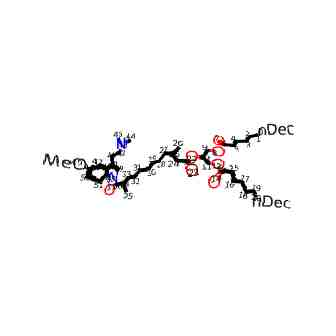 CCCCCCCCCCCCCCCC(=O)OCC(COC(=O)CCCCCCCCCCCCCCC)OC(=O)CC(C)CCCCCCCC(C)C(=O)n1cc(CCN(C)C)c2cc(OC)ccc21